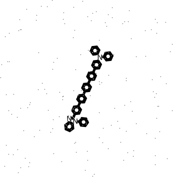 c1ccc(N(c2ccccc2)c2ccc(-c3ccc(-c4ccc(-c5ccc(-c6ccc(-c7nc8ccccc8n7-c7ccccc7)cc6)cc5)cc4)cc3)cc2)cc1